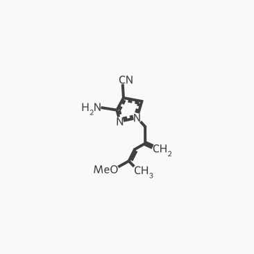 C=C(/C=C(\C)OC)Cn1cc(C#N)c(N)n1